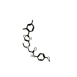 CCN(CC(=O)Nc1ccc(OC)cc1)Cc1coc(-c2ccc(C)cc2C)n1